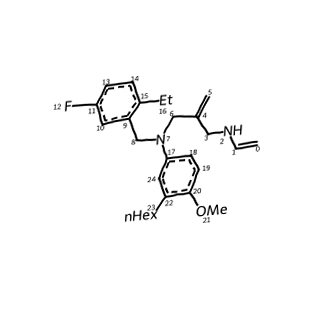 C=CNCC(=C)CN(Cc1cc(F)ccc1CC)c1ccc(OC)c(CCCCCC)c1